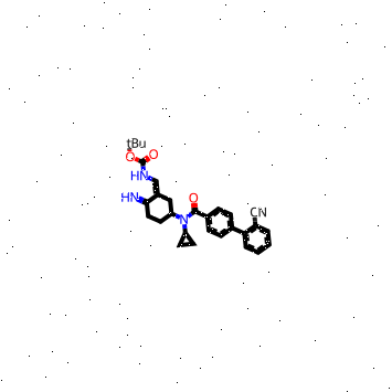 CC(C)(C)OC(=O)N/C=C1/CC(N(C(=O)c2ccc(-c3ccccc3C#N)cc2)C2CC2)CCC1=N